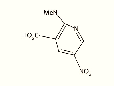 CNc1ncc([N+](=O)[O-])cc1C(=O)O